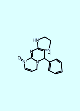 O=[N+]1C=CCN2C1=NC1=C(NCCN1)C2c1ccccc1